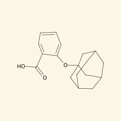 O=C(O)c1ccccc1OC12CC3CC(CC(C3)C1)C2